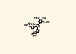 COc1cc(-c2nc(-c3ccc(CP(=O)(O)O)s3)c(-c3ccc(CP(=O)(O)O)s3)[nH]2)cc(C=O)c1O